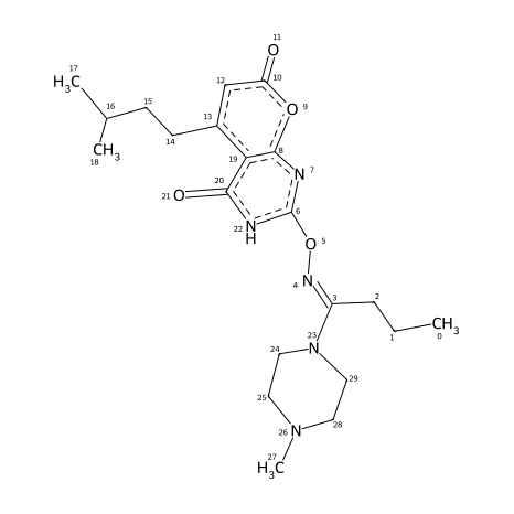 CCC/C(=N\Oc1nc2oc(=O)cc(CCC(C)C)c2c(=O)[nH]1)N1CCN(C)CC1